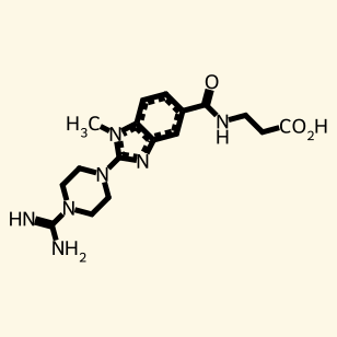 Cn1c(N2CCN(C(=N)N)CC2)nc2cc(C(=O)NCCC(=O)O)ccc21